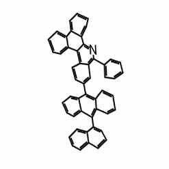 c1ccc(-c2nc3c4ccccc4c4ccccc4c3c3ccc(-c4c5ccccc5c(-c5cccc6ccccc56)c5ccccc45)cc23)cc1